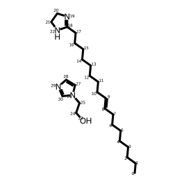 CCCCCCCCC=CCCCCCCCCC1=NCCN1.OCCn1ccnc1